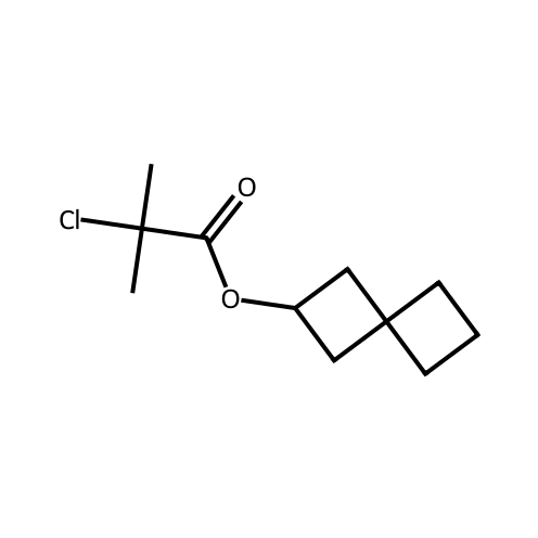 CC(C)(Cl)C(=O)OC1CC2(CCC2)C1